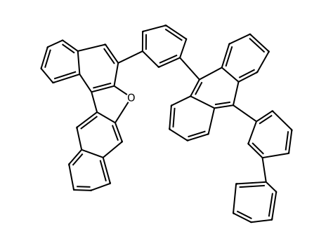 c1ccc(-c2cccc(-c3c4ccccc4c(-c4cccc(-c5cc6ccccc6c6c5oc5cc7ccccc7cc56)c4)c4ccccc34)c2)cc1